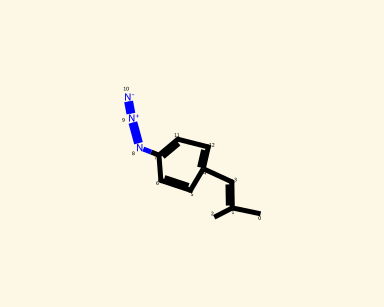 CC(C)=Cc1ccc(N=[N+]=[N-])cc1